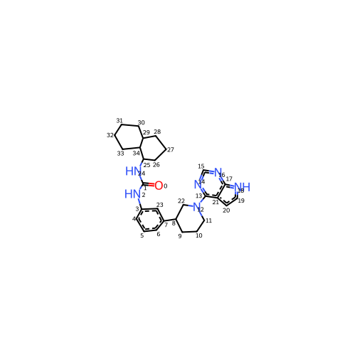 O=C(Nc1cccc(C2CCCN(c3ncnc4[nH]ccc34)C2)c1)NC1CCCC2CCCCC21